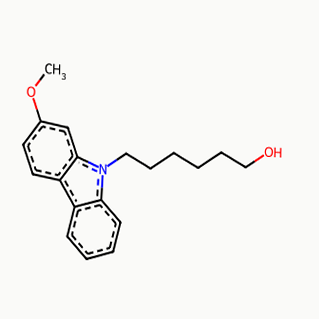 COc1ccc2c3ccccc3n(CCCCCCO)c2c1